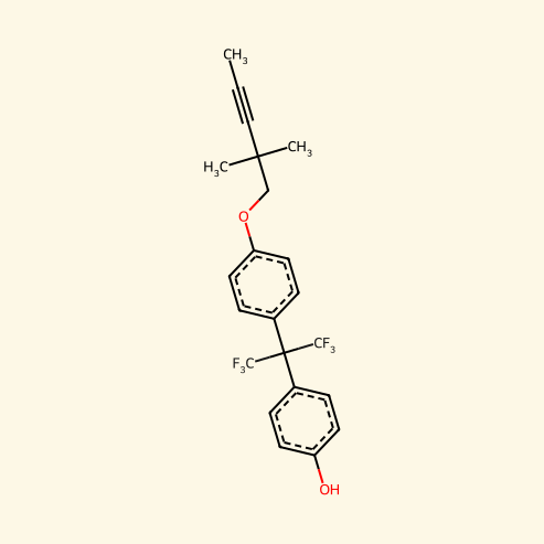 CC#CC(C)(C)COc1ccc(C(c2ccc(O)cc2)(C(F)(F)F)C(F)(F)F)cc1